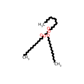 CCCCC/C=C\C/C=C\C/C=C\CCCCC(=O)OC[C@H](COC(=O)CCCCCCCCCCCCCCCCC)OCCCCCCCCCCCCCCCCCC